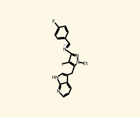 CCn1nc(/N=C/c2ccc(F)cc2)c(I)c1Cc1c[nH]c2ncccc12